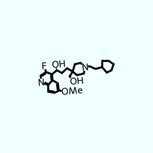 COc1ccc2ncc(F)c([C@H](O)CCC3(CO)CCN(CCC4CCCCC4)CC3)c2c1